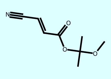 COC(C)(C)OC(=O)C=CC#N